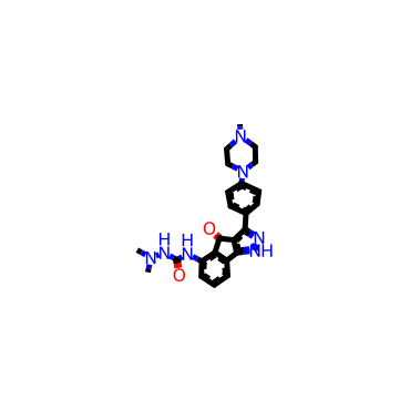 CN1CCN(c2ccc(-c3n[nH]c4c3C(=O)c3c(NC(=O)NN(C)C)cccc3-4)cc2)CC1